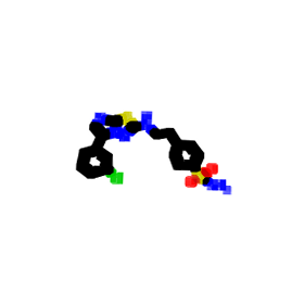 NS(=O)(=O)c1ccc(CCNc2nn3c(-c4cccc(Cl)c4)cnc3s2)cc1